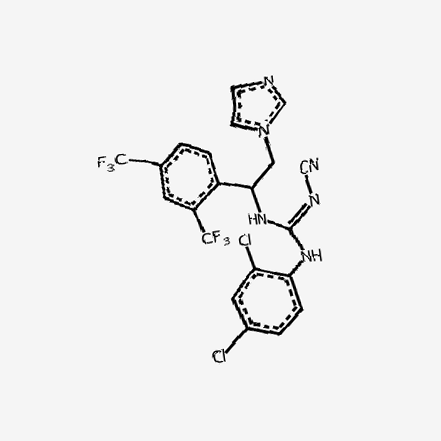 N#CN=C(Nc1ccc(Cl)cc1Cl)NC(Cn1ccnc1)c1ccc(C(F)(F)F)cc1C(F)(F)F